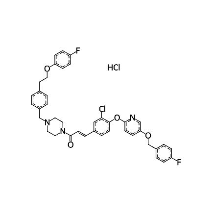 Cl.O=C(C=Cc1ccc(Oc2ccc(OCc3ccc(F)cc3)cn2)c(Cl)c1)N1CCN(Cc2ccc(CCOc3ccc(F)cc3)cc2)CC1